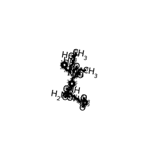 CCCn1c(=O)c2c(nc(Cc3ccccc3)n2CCNCC(O)CC)n(CCc2ccc(NC(=O)C(CN)(CCCCCCN3C(=O)C=CC3=O)C(=O)O)cc2)c1=O